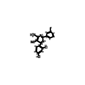 Cc1cccc(-c2nc(N)c(C#N)c(-c3ccc(Cl)cc3Cl)n2)c1